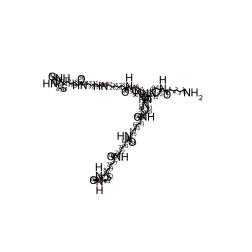 NCCCCCC(=O)NC1CCN(c2nc(N3CCC(NC(=O)CCCCCNCCCCCNC(=O)CCCCC4SCC5NC(=O)NC54)CC3)nc(N3CCC(NC(=O)CCCCCNC(=O)CCCCCNC(=O)CCCCC4SCC5NC(=O)NC54)CC3)n2)CC1